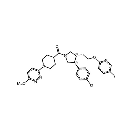 COc1ccc(N2CCC(C(=O)N3C[C@H](CCOc4ccc(Cl)cn4)[C@@H](c4ccc(Cl)cc4)C3)CC2)nn1